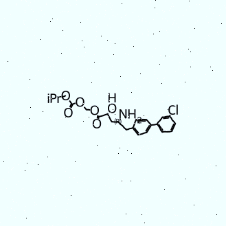 CC(C)OC(=O)OCOC(=O)C(O)C[C@H](N)Cc1ccc(-c2cccc(Cl)c2)cc1